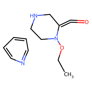 CCON1CCNCC1=C=O.c1ccncc1